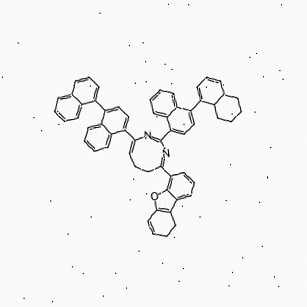 C1=CC2CCCCC2C(c2ccc(C3=N/C(c4ccc(-c5cccc6ccccc56)c5ccccc45)=C\CC/C(c4cccc5c6c(oc45)C=CCC6)=N\3)c3ccccc23)=C1